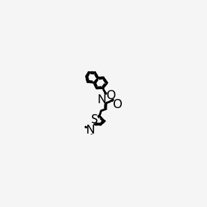 CN(C)c1ccc(C/C=C2\N=C(c3ccc4ccccc4c3)OC2=O)s1